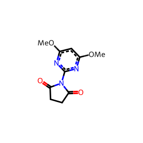 COc1cc(OC)nc(N2C(=O)CCC2=O)n1